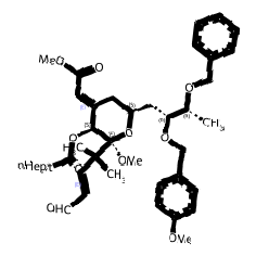 CCCCCCCC(=O)O[C@H]1/C(=C/C(=O)OC)C[C@@H](C[C@@H](OCc2ccc(OC)cc2)[C@@H](C)OCc2ccccc2)O[C@@]1(OC)C(C)(C)/C=C/C=O